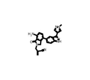 C=C(C#N)CN1Cc2c(-c3ccc4[nH]nc(-c5cnn(C)c5)c4c3)ccc(N)c2C1=O